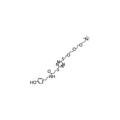 C[N+](C)(C)CCOCCOCCOCCSc1nnc(SCCC(=O)NCCc2ccc(O)cc2)nn1